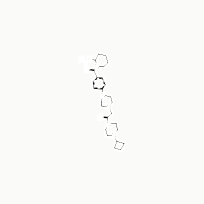 CC1CCCCN1C(=O)c1ccc(N2CCN(CC(=O)N3CCN(C4CCC4)CC3)CC2)cc1